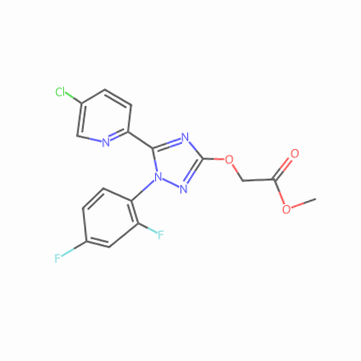 COC(=O)COc1nc(-c2ccc(Cl)cn2)n(-c2ccc(F)cc2F)n1